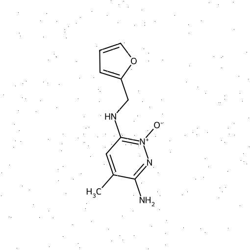 Cc1cc(NCc2ccco2)[n+]([O-])nc1N